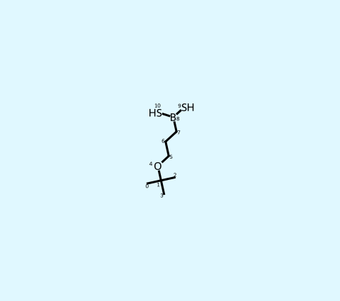 CC(C)(C)OCCCB(S)S